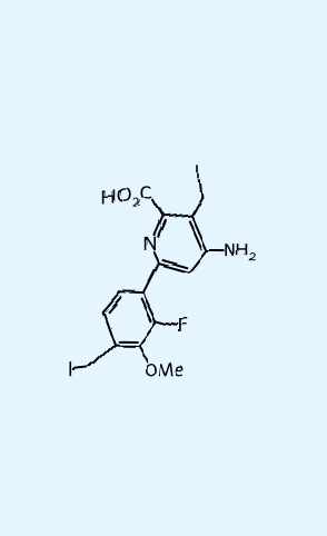 COc1c(CI)ccc(-c2cc(N)c(CI)c(C(=O)O)n2)c1F